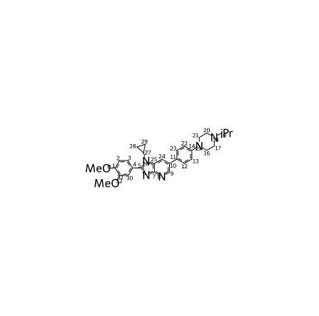 COc1ccc(-c2nc3ncc(-c4ccc(N5CCN(C(C)C)CC5)cc4)cc3n2C2CC2)cc1OC